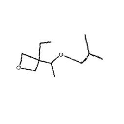 CCC1(C(C)OCC(C)C)COC1